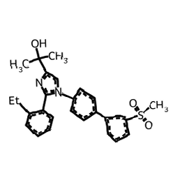 CCc1ccccc1-c1nc(C(C)(C)O)cn1-c1ccc(-c2cccc(S(C)(=O)=O)c2)cc1